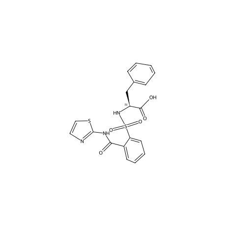 O=C(Nc1nccs1)c1ccccc1S(=O)(=O)N[C@@H](Cc1ccccc1)C(=O)O